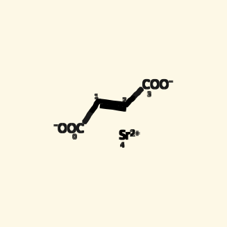 O=C([O-])C=CC(=O)[O-].[Sr+2]